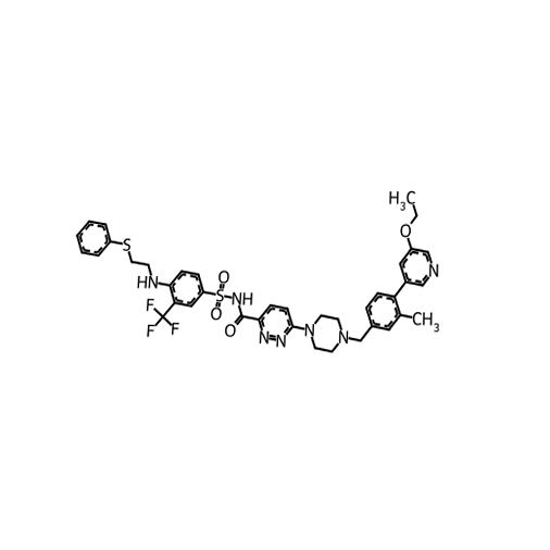 CCOc1cncc(-c2ccc(CN3CCN(c4ccc(C(=O)NS(=O)(=O)c5ccc(NCCSc6ccccc6)c(C(F)(F)F)c5)nn4)CC3)cc2C)c1